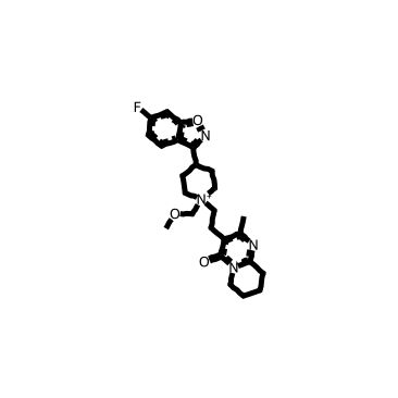 COC[N+]1(CCc2c(C)nc3n(c2=O)CCCC3)CCC(c2noc3cc(F)ccc23)CC1